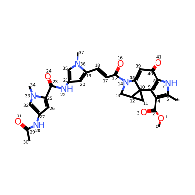 COC(=O)c1c(C)[nH]c2c1C13CC1CN(C(=O)/C=C/c1cc(NC(=O)c4cc(NC(C)=O)cn4C)cn1C)C3=CC2=O